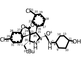 CC(C)(C)C[C@H]1N[C@@H](C(=O)NC2CCC(O)CC2)[C@H](c2cccc(Cl)c2)[C@@]12C(=O)Oc1cc(Cl)ccc12